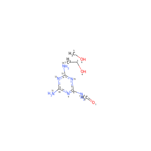 C=O.CCO.CO.Nc1nc(N)nc(N)n1